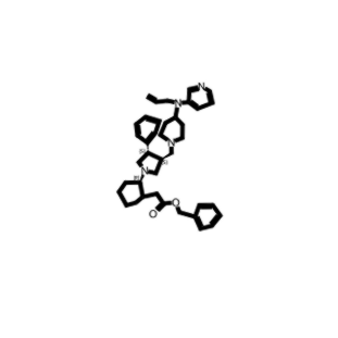 C=CCN(c1cccnc1)C1CCN(C[C@H]2CN([C@@H]3CCCCC3CC(=O)OCc3ccccc3)C[C@@H]2c2ccccc2)CC1